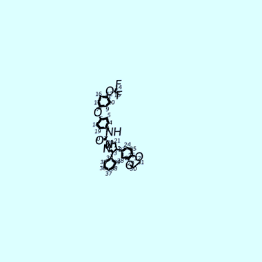 O=C(Nc1ccc(Oc2ccc(OC(F)F)cc2)cc1)N1CC(c2ccc3c(c2)OCCO3)C(c2ccccc2)=N1